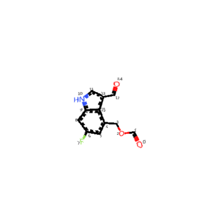 O=COCc1cc(F)cc2[nH]cc(C=O)c12